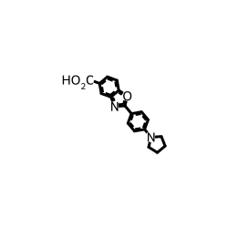 O=C(O)c1ccc2oc(-c3ccc(N4CCCC4)cc3)nc2c1